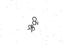 C=C1OB(c2cnc3ccccc3c2)OC1=C